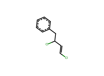 ClC=CC(Cl)Cc1ccccc1